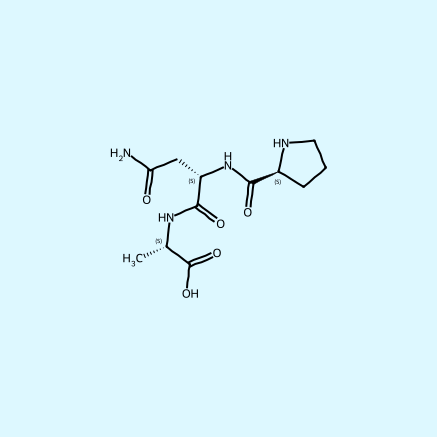 C[C@H](NC(=O)[C@H](CC(N)=O)NC(=O)[C@@H]1CCCN1)C(=O)O